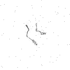 CCCC#N.O=CO